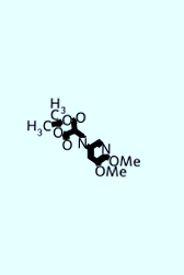 COc1cc(/N=C/C2C(=O)OC(C)(C)OC2=O)cnc1OC